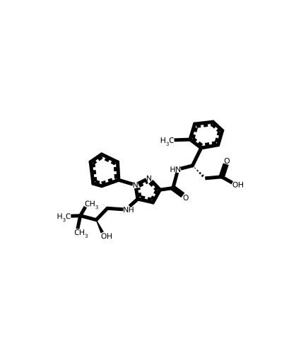 Cc1ccccc1[C@H](CC(=O)O)NC(=O)c1cc(NC[C@@H](O)C(C)(C)C)n(-c2ccccc2)n1